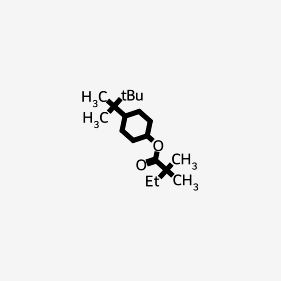 CCC(C)(C)C(=O)OC1CCC(C(C)(C)C(C)(C)C)CC1